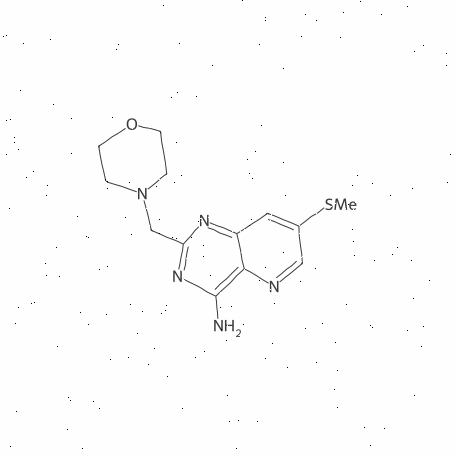 CSc1cnc2c(N)nc(CN3CCOCC3)nc2c1